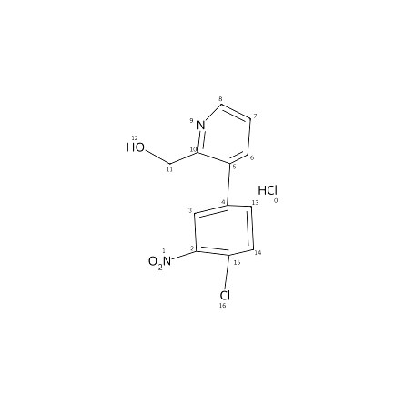 Cl.O=[N+]([O-])c1cc(-c2cccnc2CO)ccc1Cl